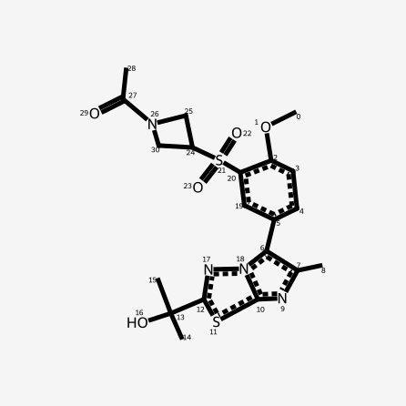 COc1ccc(-c2c(C)nc3sc(C(C)(C)O)nn23)cc1S(=O)(=O)C1CN(C(C)=O)C1